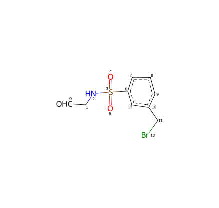 O=CCNS(=O)(=O)c1cccc(CBr)c1